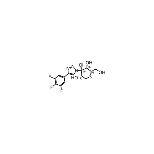 OC[C@H]1SC[C@H](O)[C@](O)(n2cc(-c3cc(F)c(F)c(F)c3)nn2)[C@H]1O